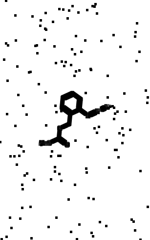 COC(=O)OCc1ccccc1N=[N+]=[N-]